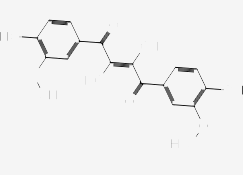 COc1cc(C(=O)/C(C)=C(\C)C(=O)c2ccc(O)c(OC)c2)ccc1O